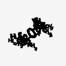 CC(CN)(O[Si](C)(C)C)c1ccc(C(C)(CN)O[Si](C)(C)C)c(F)c1